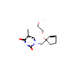 Cc1cn(CC2(OCCO)C=CCC2)c(=O)[nH]c1=O